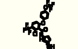 O=C(Nc1ccn(O)c1)c1c(Oc2ccc(OC(F)(F)F)cc2)ccc(C(F)(F)F)c1Cl